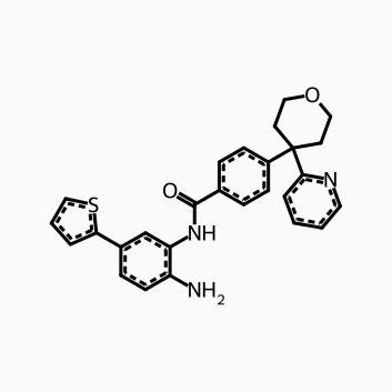 Nc1ccc(-c2cccs2)cc1NC(=O)c1ccc(C2(c3ccccn3)CCOCC2)cc1